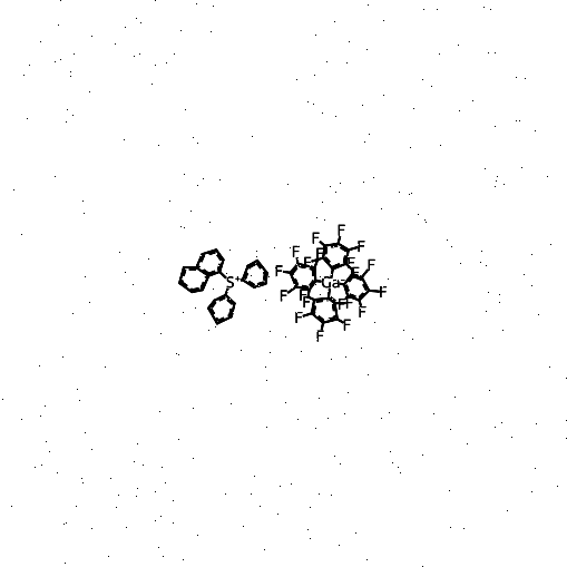 Fc1c(F)c(F)[c]([Ga-]([c]2c(F)c(F)c(F)c(F)c2F)([c]2c(F)c(F)c(F)c(F)c2F)[c]2c(F)c(F)c(F)c(F)c2F)c(F)c1F.c1ccc([S+](c2ccccc2)c2cccc3ccccc23)cc1